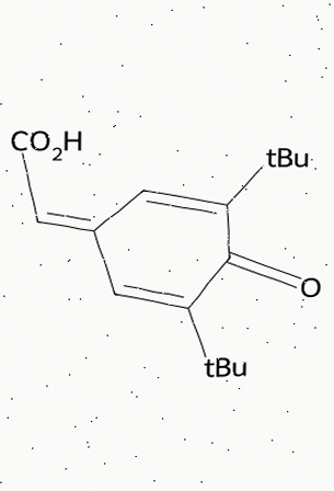 CC(C)(C)C1=CC(=CC(=O)O)C=C(C(C)(C)C)C1=O